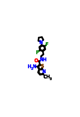 Cc1ccc2c(N)c(C(=O)NCCc3cc(F)c(N4CCCC4)cc3F)sc2n1